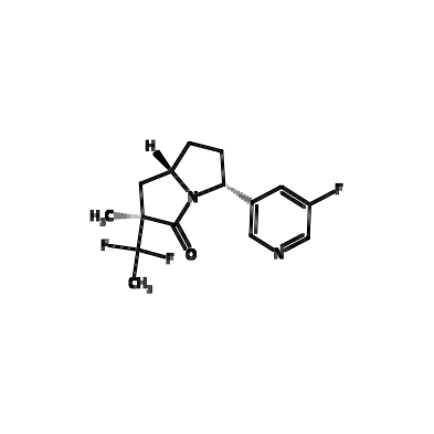 CC(F)(F)[C@@]1(C)C[C@@H]2CC[C@H](c3cncc(F)c3)N2C1=O